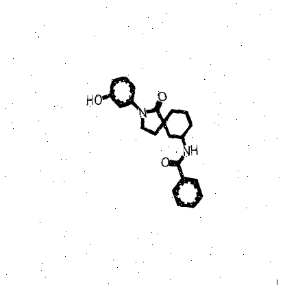 O=C(NC1CCCC2(CCN(c3cccc(O)c3)C2=O)C1)c1ccccc1